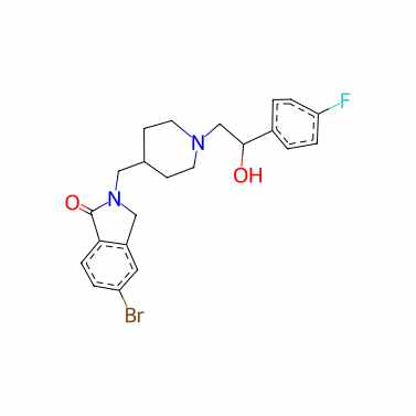 O=C1c2ccc(Br)cc2CN1CC1CCN(CC(O)c2ccc(F)cc2)CC1